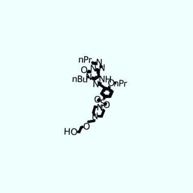 CCCCn1c(=O)n2c(CCC)nnc2c2[nH]c(-c3cc(S(=O)(=O)N4CCN(CCOCCO)CC4)ccc3OCCC)nc21